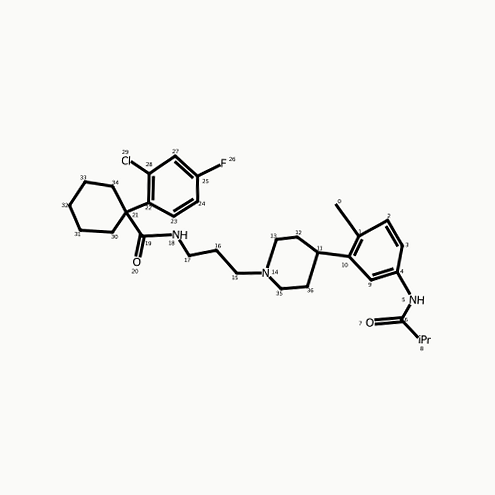 Cc1ccc(NC(=O)C(C)C)cc1C1CCN(CCCNC(=O)C2(c3ccc(F)cc3Cl)CCCCC2)CC1